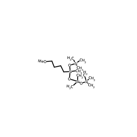 COCCCC[Si](C)(O[Si](C)(C)C)O[Si](C)(C)O[Si](C)(C)C